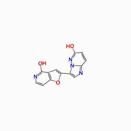 Oc1ccc2ncc(-c3cc4c(O)nccc4o3)n2n1